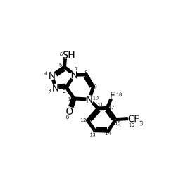 O=c1c2nnc(S)n2ccn1-c1cccc(C(F)(F)F)c1F